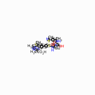 Cc1ncsc1-c1ccc([C@H](C)NC(=O)[C@@H]2C[C@@H](O)CN2C(=O)[C@@H](NC(=O)CSc2ccc(-c3ccc(C4=N[C@@H](C(C)C(=O)O)c5nnc(C)n5-c5sc(C)c(C)c54)cc3)cc2)C(C)(C)C)cc1